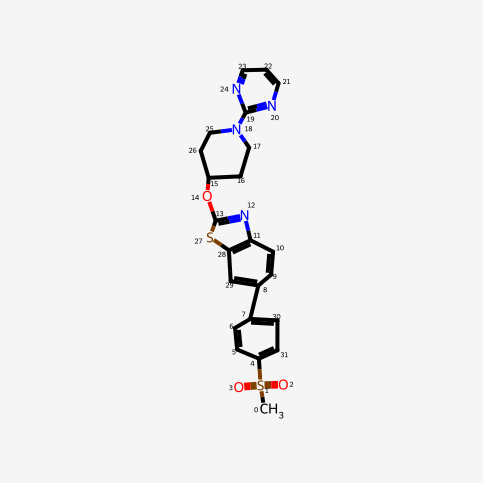 CS(=O)(=O)c1ccc(-c2ccc3nc(OC4CCN(c5ncccn5)CC4)sc3c2)cc1